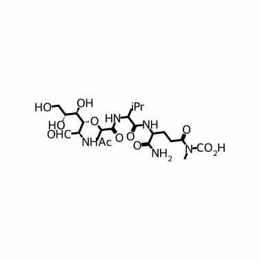 CC(=O)N[C@@H](C=O)[C@@H](OC(C)C(=O)NC(C(=O)NC(CCC(=O)N(C)C(=O)O)C(N)=O)C(C)C)[C@H](O)[C@H](O)CO